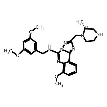 COc1cc(CNc2nc3c(OC)cccc3c3nc(CN4CCNC[C@H]4C)nn23)cc(OC)c1